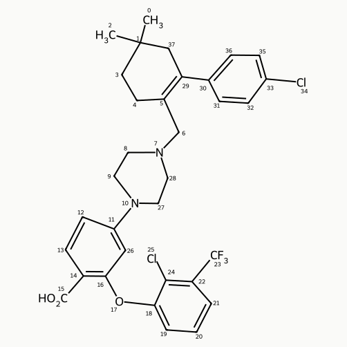 CC1(C)CCC(CN2CCN(c3ccc(C(=O)O)c(Oc4cccc(C(F)(F)F)c4Cl)c3)CC2)=C(c2ccc(Cl)cc2)C1